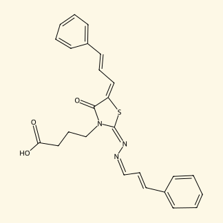 O=C(O)CCCN1C(=O)/C(=C\C=C\c2ccccc2)S/C1=N/N=C\C=C\c1ccccc1